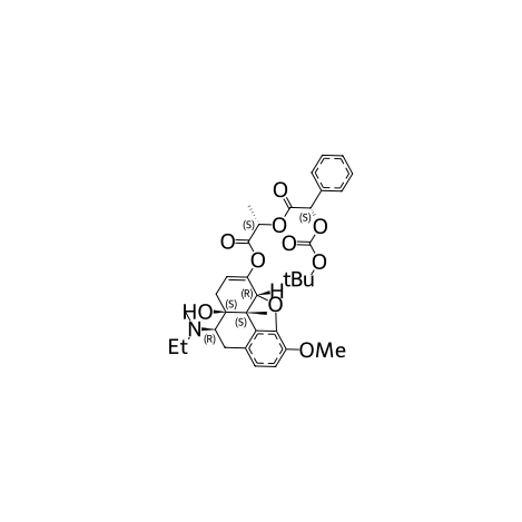 CCN(C)[C@@H]1Cc2ccc(OC)c3c2[C@@]2(C)[C@@H](O3)C(OC(=O)[C@H](C)OC(=O)[C@@H](OC(=O)OC(C)(C)C)c3ccccc3)=CC[C@@]12O